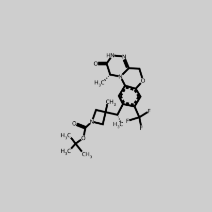 C[C@@H]1C(=O)NN=C2COc3cc(C(F)(F)F)c([C@H](C)C4(C)CN(C(=O)OC(C)(C)C)C4)cc3N21